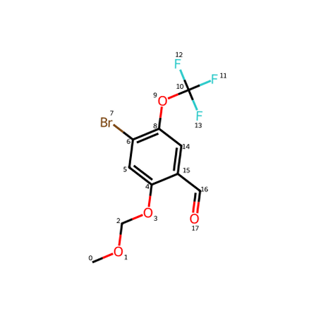 COCOc1cc(Br)c(OC(F)(F)F)cc1C=O